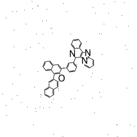 c1cc(-c2cc3ccccc3c3c2oc2cc4ccccc4cc23)cc(-c2nc3ccccc3c3nc4ccccn4c23)c1